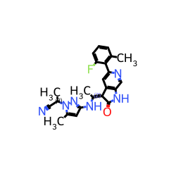 C/C(Nc1cc(C)n([C@H](C)C#N)n1)=C1/C(=O)Nc2cnc(-c3c(C)cccc3F)cc21